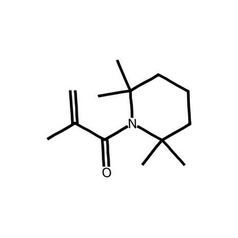 C=C(C)C(=O)N1C(C)(C)CCCC1(C)C